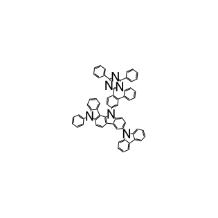 c1ccc(-c2nc(-c3ccccc3)nc(-c3ccc(-n4c5ccc(-n6c7ccccc7c7ccccc76)cc5c5ccc6c(c7ccccc7n6-c6ccccc6)c54)cc3-c3ccccc3)n2)cc1